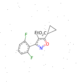 CCOC(=O)c1c(-c2c(F)cccc2F)noc1C1CC1